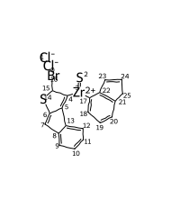 [Cl-].[Cl-].[S]=[Zr+2]([C]1=C2C(=Cc3ccccc32)SC1Br)[c]1cccc2c1C=CC2